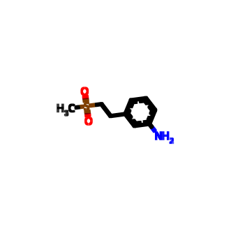 CS(=O)(=O)CCc1cccc(N)c1